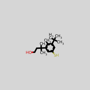 Cc1c(C(C)(C)C)cc(S)cc1C(C)(C)CCO